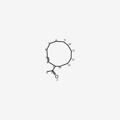 CC(=O)C1C=CCCCCCCCCC1